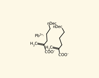 C=C(CCCCCCCCCCCCC)C(=O)[O-].C=C(CCCCCCCCCCCCC)C(=O)[O-].[Pb+2]